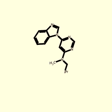 CC(C)CN(C)c1cc(-n2cnc3ccccc32)ncn1